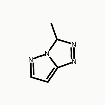 CC1N=Nc2ccnn21